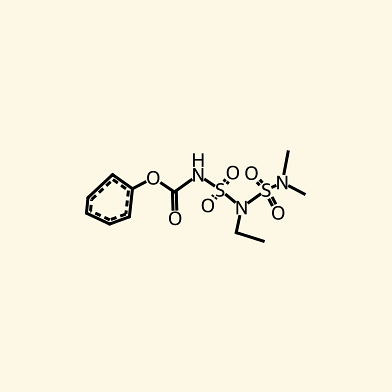 CCN(S(=O)(=O)NC(=O)Oc1ccccc1)S(=O)(=O)N(C)C